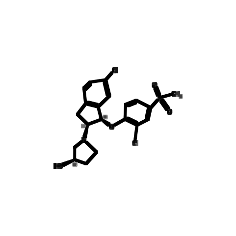 CS(=O)(=O)c1ccc(O[C@@H]2c3cc(Cl)ccc3C[C@@H]2N2CC[C@@H](O)C2)c(Cl)c1